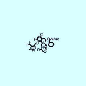 CNC(=O)[C@@]1(C)CCCC[C@H]1C(=O)N1CCc2c(Cl)cc(F)c(OCc3nnn(C)c3C(F)F)c2C1CN1CCOCC1=O